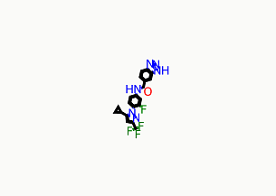 O=C(Nc1ccc(-n2nc(C(F)(F)F)cc2C2CC2)c(F)c1)c1ccc2nn[nH]c2c1